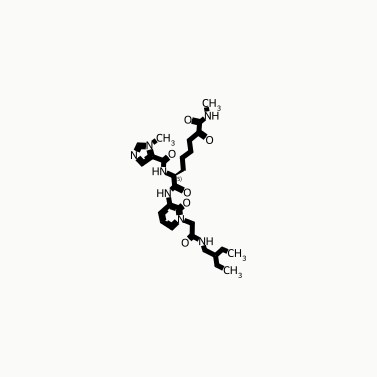 CCC(CC)CNC(=O)Cn1cccc(NC(=O)[C@H](CCCCC(=O)C(=O)NC)NC(=O)c2cncn2C)c1=O